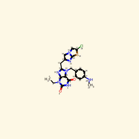 CCn1c(=O)[nH]c(=O)c2c1nc(Cc1cn3cc(Cl)sc3n1)n2Cc1ccc(NC)cc1